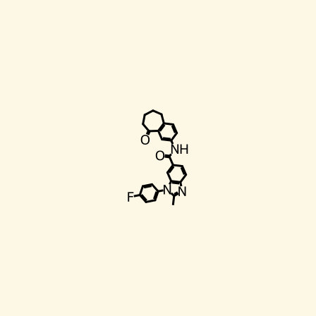 Cc1nc2ccc(C(=O)Nc3ccc4c(c3)C(=O)CCCC4)cc2n1-c1ccc(F)cc1